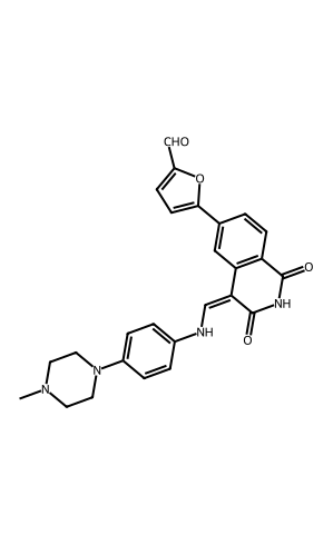 CN1CCN(c2ccc(NC=C3C(=O)NC(=O)c4ccc(-c5ccc(C=O)o5)cc43)cc2)CC1